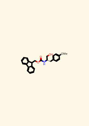 COc1ccc(C[C@@H](CO)NC(=O)OCC2c3ccccc3-c3ccccc32)cc1